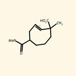 CNC(=O)C1C/C=C/C(C)(C(=O)O)CCC1